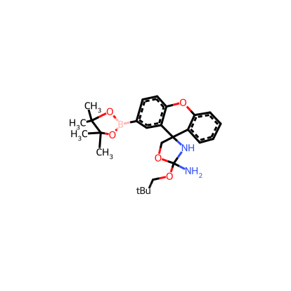 CC(C)(C)COC1(N)NC2(CO1)c1ccccc1Oc1ccc(B3OC(C)(C)C(C)(C)O3)cc12